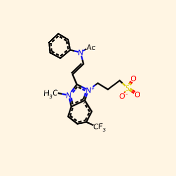 CC(=O)N(C=Cc1n(C)c2ccc(C(F)(F)F)cc2[n+]1CCCS(=O)(=O)[O-])c1ccccc1